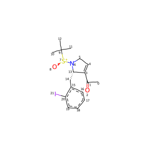 CC(=O)C1=CCN([S@@+]([O-])C(C)(C)C)[C@H]1Cc1ccccc1I